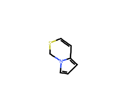 C1=Cc2cccn2CS1